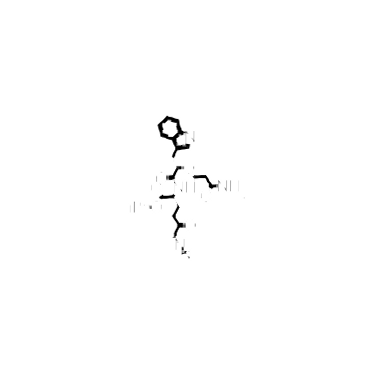 CC(C)OC(=O)[C@H](CCC(=O)C=[N+]=[N-])NC(=O)[C@H](Cc1c[nH]c2ccccc12)OCCC(N)=O